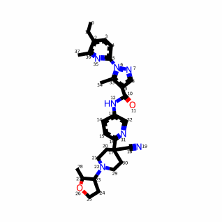 CCc1ccc(-n2ncc(C(=O)Nc3ccc(C4(C#N)CCN(C5CCOC5C)CC4)nc3)c2C)nc1C